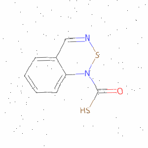 O=C(S)N1SN=Cc2ccccc21